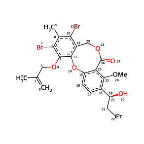 C=C(C)COc1c(Br)c(C)c(Br)c2c1Oc1ccc([C@@H](O)CC(C)C)c(OC)c1C(=O)OC2